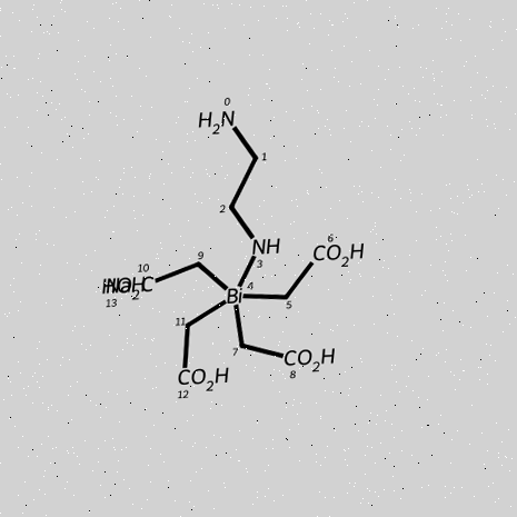 NCC[NH][Bi]([CH2]C(=O)O)([CH2]C(=O)O)([CH2]C(=O)O)[CH2]C(=O)O.[NaH]